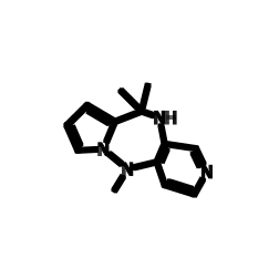 CN1c2ccncc2NC(C)(C)c2cccn21